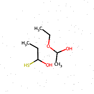 CCC(O)S.CCOC(C)O